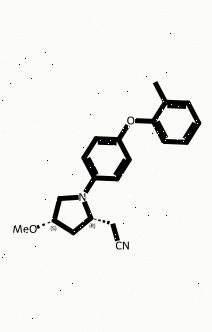 CO[C@H]1C[C@@H](CC#N)N(c2ccc(Oc3ccccc3C)cc2)C1